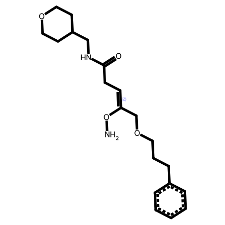 NO/C(=C\CC(=O)NCC1CCOCC1)COCCCc1ccccc1